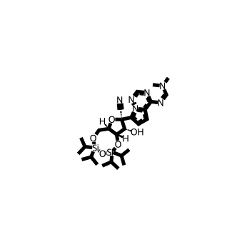 CC(C)[Si]1(C(C)C)OC[C@H]2O[C@@](C#N)(c3ccc4c(/N=C\N(C)C)ncnn34)[C@H](O)[C@@H]2O[Si](C(C)C)(C(C)C)O1